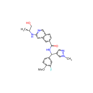 COc1ccc(C(NC(=O)c2ccc3cnc(N[C@@H](C)CO)cc3c2)c2cnn(C)c2)cc1F